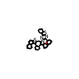 C1=CC2=C(CC1)c1c(n(-c3nc4c5c(sc4nc3-c3ccccc3)C=CCC5)c3ccccc13)Cc1sc3ccc4ccccc4c3c12